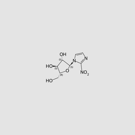 O=[N+]([O-])c1nccn1[C@H]1O[C@H](CO)[C@@H](O)[C@@H]1O